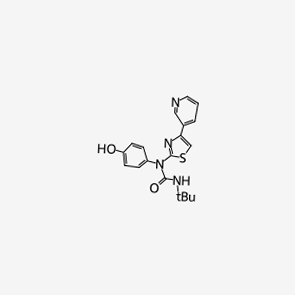 CC(C)(C)NC(=O)N(c1ccc(O)cc1)c1nc(-c2cccnc2)cs1